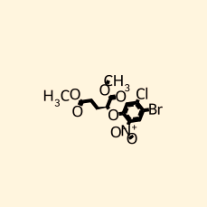 COC(=O)CC[C@H](Oc1cc(Cl)c(Br)cc1[N+](=O)[O-])C(=O)OC